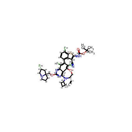 C=C[C@H]1COc2c(Cl)c(-c3ccc(F)c4sc(NC(=O)OC(C)(C)C)c(C#N)c34)c(F)c3nc(OC[C@@]45CCCN4C[C@H](F)C5)nc(c23)N1C1CCC1